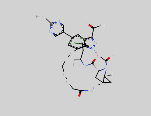 CC(=O)c1nn2c3c(cc(-c4cnc(C)nc4)cc13)CCCCCCC(=O)NC[C@@]13C[C@@H](C(=O)N[C@@H](C)[C@H]4CC4(Cl)Cl)N(C(=O)C2)[C@@H]1C3